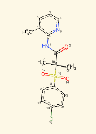 Cc1cccnc1NC(=O)C(C)(C)S(=O)(=O)c1ccc(Cl)cc1